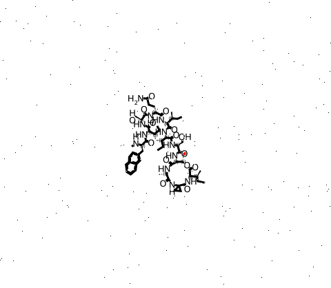 CC[C@H](C)[C@H](NC(=O)[C@@H](Cc1ccc2ccccc2c1)NC)C(=O)N[C@@H](CO)C(=O)N[C@H](CCC(N)=O)C(=O)N[C@@H](C(=O)N[C@H](C(=O)N[C@@H](CO)C(=O)N[C@H]1C(=O)N[C@@H](C)C(=O)NC2(CC2)C(=O)N[C@@H]([C@@H](C)CC)C(=O)O[C@H]1C)[C@@H](C)CC)[C@@H](C)CC